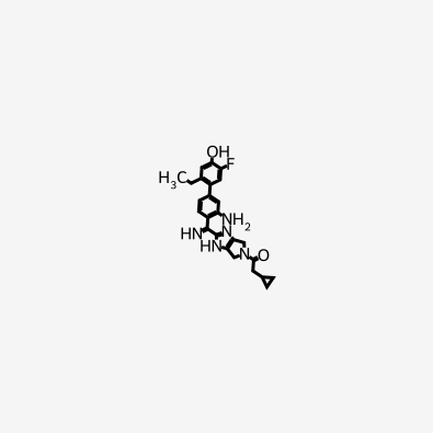 CCc1cc(O)c(F)cc1-c1ccc(C(=N)c2nc3c([nH]2)CN(C(=O)CC2CC2)C3)c(N)c1